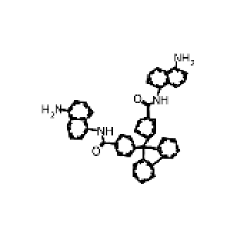 Nc1cccc2c(NC(=O)c3ccc(C4(c5ccc(C(=O)Nc6cccc7c(N)cccc67)cc5)c5ccccc5-c5ccccc54)cc3)cccc12